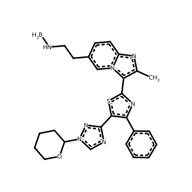 BNCCc1ccc2nc(C)c(-c3nc(-c4ccccc4)c(-c4ncn(C5CCCCO5)n4)s3)n2c1